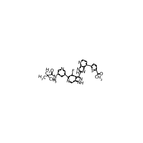 CC(=O)c1ccc(-c2ccnc3[nH]c(-c4n[nH]c5cnc(-c6cncc(NC(=O)C(C)(C)C)c6)c(F)c45)nc23)s1